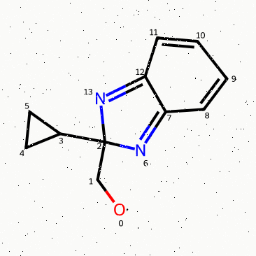 [O]CC1(C2CC2)N=c2ccccc2=N1